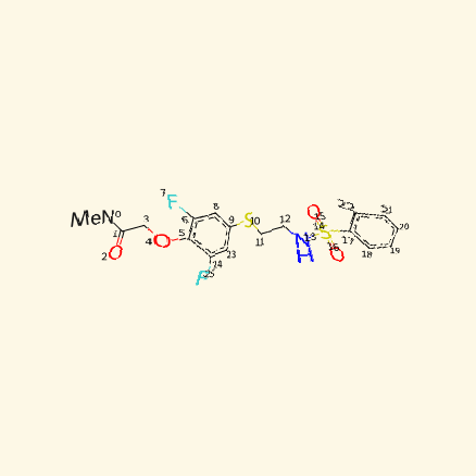 [11CH3]NC(=O)COc1c(F)cc(SCCNS(=O)(=O)c2ccccc2)cc1F